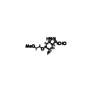 COCCOc1cc2[nH]nc(C=O)c2cc1F